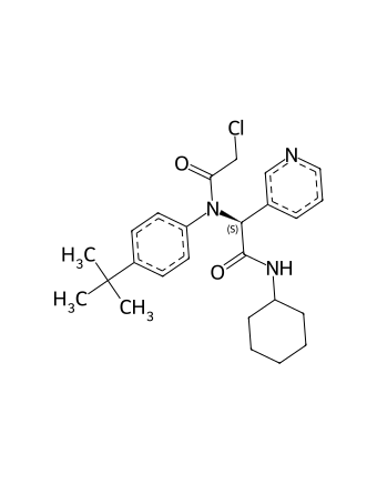 CC(C)(C)c1ccc(N(C(=O)CCl)[C@H](C(=O)NC2CCCCC2)c2cccnc2)cc1